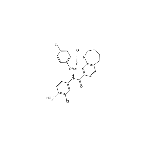 COc1ccc(Cl)cc1S(=O)(=O)N1CCCCc2ccc(C(=O)Nc3ccc(C(=O)O)c(Cl)c3)cc21